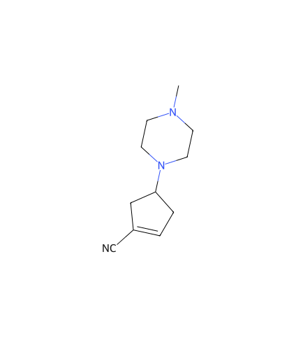 CN1CCN(C2CC=C(C#N)C2)CC1